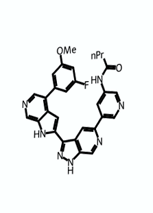 CCCC(=O)Nc1cncc(-c2cc3c(-c4cc5c(-c6cc(F)cc(OC)c6)cncc5[nH]4)n[nH]c3cn2)c1